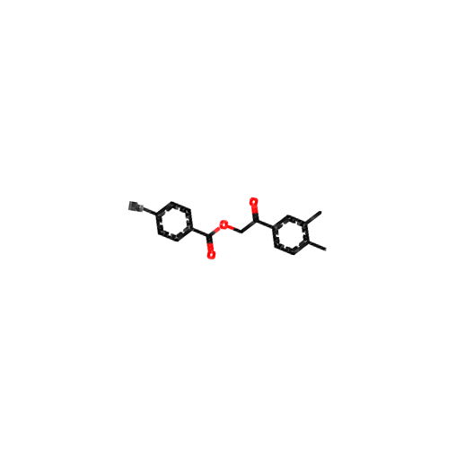 CCC(C)c1ccc(C(=O)OCC(=O)c2ccc(C)c(C)c2)cc1